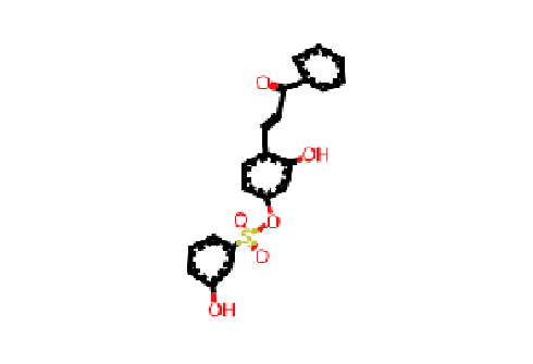 O=C(C=Cc1ccc(OS(=O)(=O)c2cccc(O)c2)cc1O)c1ccccc1